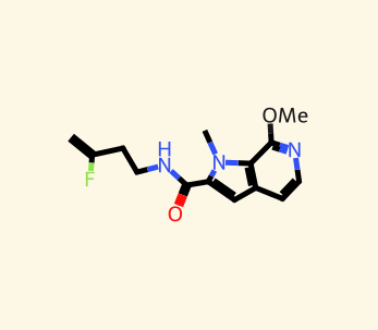 C=C(F)CCNC(=O)c1cc2ccnc(OC)c2n1C